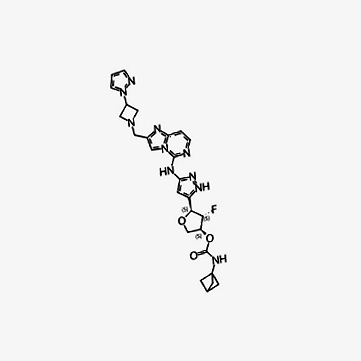 O=C(NC12CC(C1)C2)O[C@H]1CO[C@@H](c2cc(Nc3nccc4nc(CN5CC(n6cccn6)C5)cn34)n[nH]2)[C@@H]1F